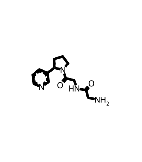 NCC(=O)NCC(=O)N1CCCC1c1cccnc1